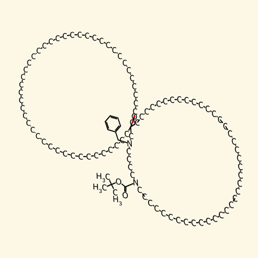 CC(C)(C)OC(=O)N1CCCCCCCCCCCCCCCCCCCCCCCCCCCCCCCCCCCCCCCC2(CCCCCCCCCCCCCCCCCCCCCCCCCCCCCCCCCCCCCCCCCCCCCC23OCCO3)CN(Cc2ccccc2)CCCC1